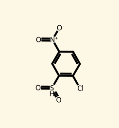 O=[N+]([O-])c1ccc(Cl)c([SH](=O)=O)c1